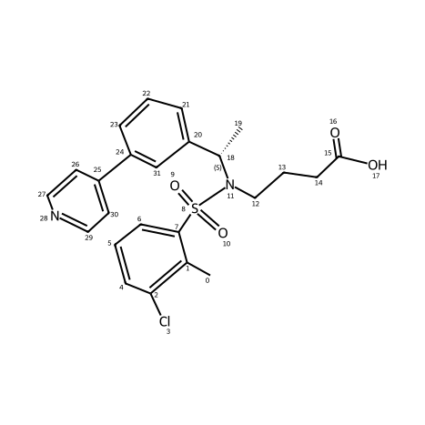 Cc1c(Cl)cccc1S(=O)(=O)N(CCCC(=O)O)[C@@H](C)c1cccc(-c2ccncc2)c1